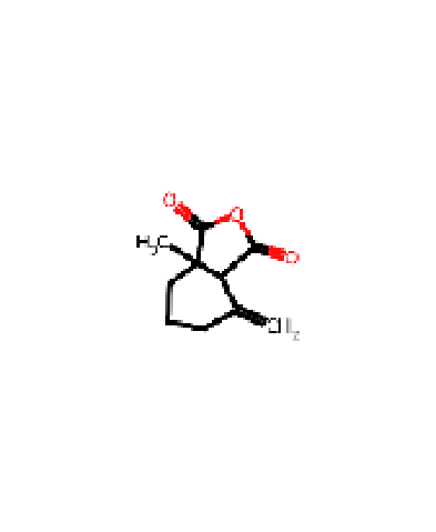 C=C1CCCC2(C)C(=O)OC(=O)C12